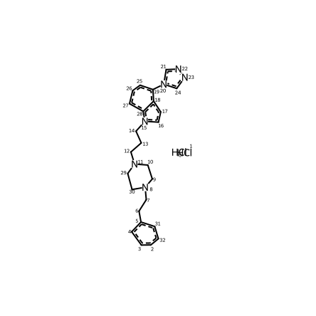 Cl.Cl.c1ccc(CCN2CCN(CCCn3ccc4c(-n5cnnc5)cccc43)CC2)cc1